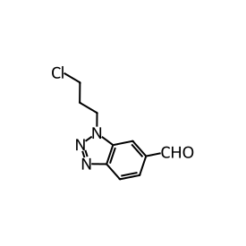 O=Cc1ccc2nnn(CCCCl)c2c1